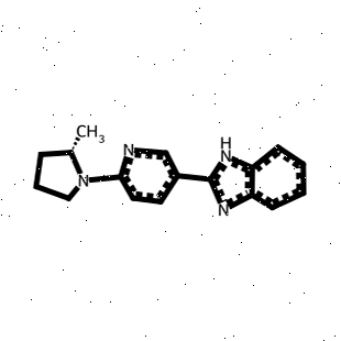 C[C@H]1CCCN1c1ccc(-c2nc3ccccc3[nH]2)cn1